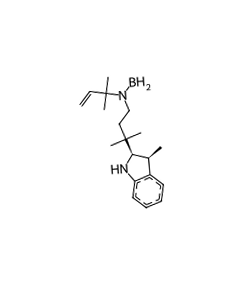 BN(CCC(C)(C)[C@@H]1Nc2ccccc2[C@@H]1C)C(C)(C)C=C